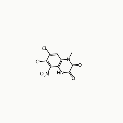 Cn1c(=O)c(=O)[nH]c2c([N+](=O)[O-])c(Cl)c(Cl)cc21